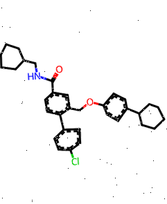 O=C(NCC1CCCCC1)c1ccc(-c2ccc(Cl)cc2)c(COc2ccc(C3[CH]CCCC3)cc2)c1